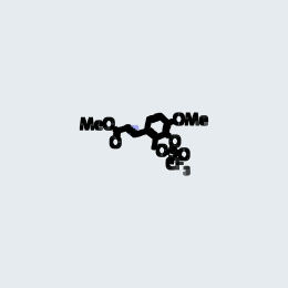 COC(=O)/C=C/c1ccc(OC)c(OS(=O)(=O)C(F)(F)F)c1C